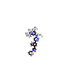 CN(c1ccc(-c2ccc(-c3cnn(C4CCCCO4)c3)c3ccsc23)nn1)C1CC(C)(C)NC(C)(C)C1